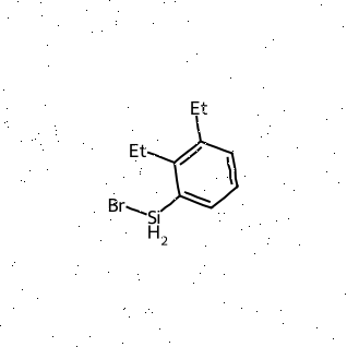 CCc1cccc([SiH2]Br)c1CC